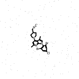 [C-]#[N+]CC1CCN(c2cc(C)nc3c2c(C)cn3-c2c(Br)cc(Cl)cc2Br)CC1